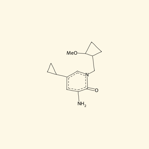 COC1CCC1Cn1cc(C2CC2)cc(N)c1=O